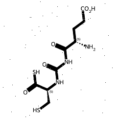 N[C@@H](CCC(=O)O)C(=O)NC(=O)N[C@@H](CS)C(=O)S